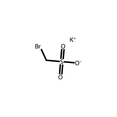 O=S(=O)([O-])CBr.[K+]